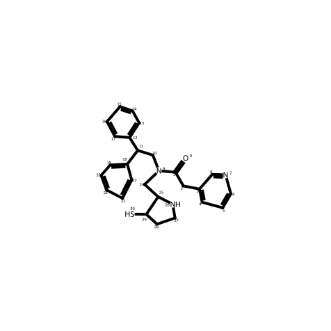 O=C(Cc1cccnc1)N(CC(c1ccccc1)c1ccccc1)CC1NCCC1S